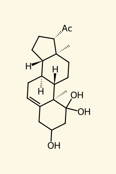 CC(=O)[C@H]1CC[C@H]2[C@@H]3CC=C4CC(O)CC(O)(O)[C@]4(C)[C@H]3CC[C@]12C